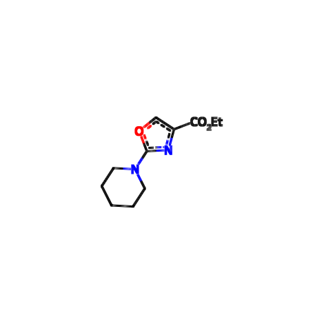 CCOC(=O)c1coc(N2CCCCC2)n1